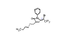 CCCCCCC1=C/C(=C(\C)Br)N(c2ccccc2)C1=O